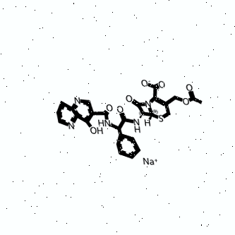 CC(=O)OCC1=C(C(=O)[O-])N2C(=O)[C@@H](NC(=O)C(NC(=O)c3cnc4cccnc4c3O)c3ccccc3)[C@H]2SC1.[Na+]